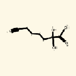 N#CCCCCC(O)(O)C(=O)O